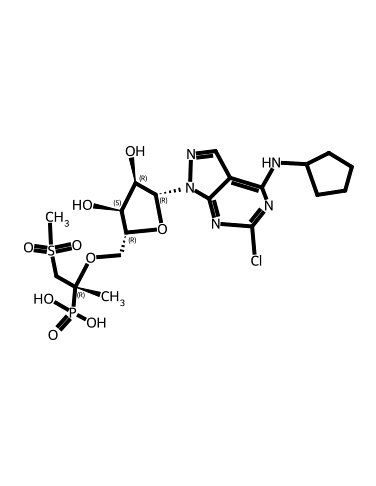 C[C@@](CS(C)(=O)=O)(OC[C@H]1O[C@@H](n2ncc3c(NC4CCCC4)nc(Cl)nc32)[C@H](O)[C@@H]1O)P(=O)(O)O